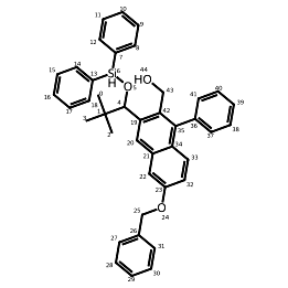 CC(C)(C)C(O[SiH](c1ccccc1)c1ccccc1)c1cc2cc(OCc3ccccc3)ccc2c(-c2ccccc2)c1CO